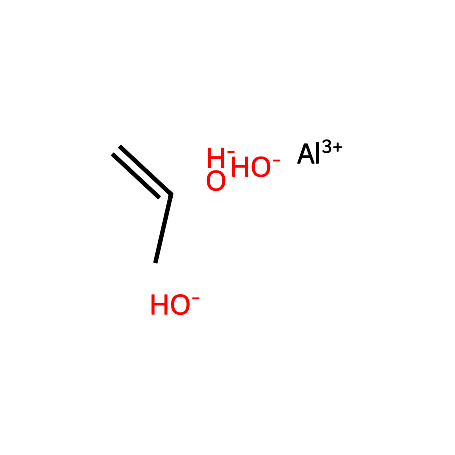 C=CC.[Al+3].[OH-].[OH-].[OH-]